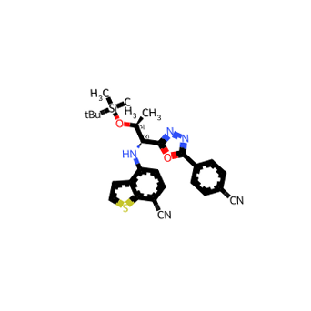 C[C@H](O[Si](C)(C)C(C)(C)C)[C@@H](Nc1ccc(C#N)c2sccc12)c1nnc(-c2ccc(C#N)cc2)o1